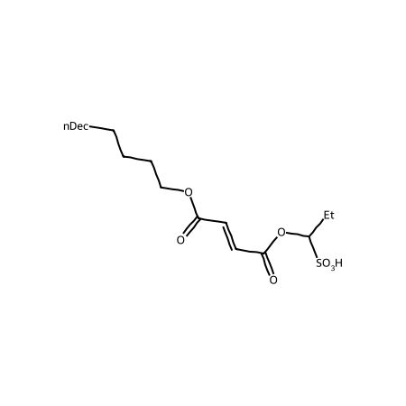 CCCCCCCCCCCCCCOC(=O)C=CC(=O)OC(CC)S(=O)(=O)O